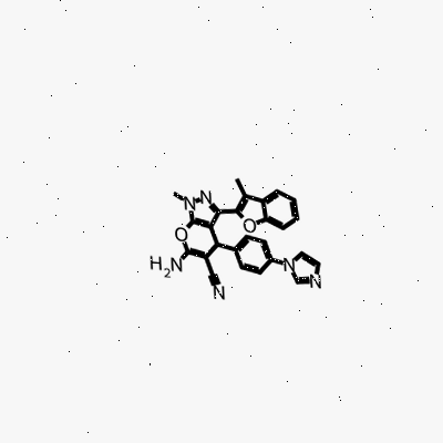 Cc1c(-c2nn(C)c3c2C(c2ccc(-n4ccnc4)cc2)C(C#N)=C(N)O3)oc2ccccc12